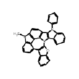 Cn1c2cccc3c2c2c1ccc1c4c(c5ccccc5n4-c4ccccc4)n(c4oc5ccccc5c34)c12